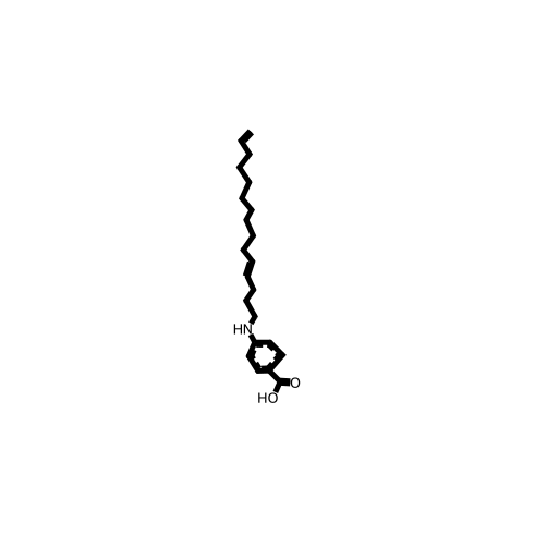 C=CCCCCCCCC/C=C/CCCNc1ccc(C(=O)O)cc1